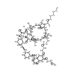 CCCCCCOC(C)c1c(C)c2cc3nc(c4c5[nH]c(cc6nc(cc1[nH]2)C(C)=C6CC)c(C)c5C(=O)N(Cc1cccc(C#Cc2cccc(Nc5ncnc6cc(OCCOC)c(OCCOC)cc56)c2)c1)C4=O)[C@@H]([C@@H](C)CC(=O)OC)C3C